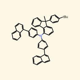 CC(C)(C)c1ccc(C2(C)c3ccccc3-c3c(N(c4ccc(-c5cccc6ccccc56)cc4)c4ccc(-c5cccc6ccccc56)cc4)cccc32)cc1